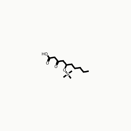 CCCCCC(CC(=O)CC(=O)O)O[Si](C)(C)C